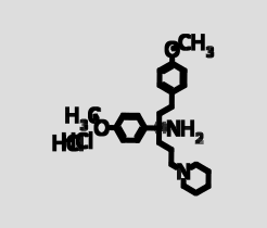 COc1ccc(CC[C@@](N)(CCCN2CCCCC2)c2ccc(OC)cc2)cc1.Cl.Cl